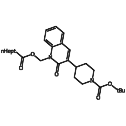 CCCCCCCC(=O)OCn1c(=O)c(C2CCN(C(=O)OC(C)(C)C)CC2)cc2ccccc21